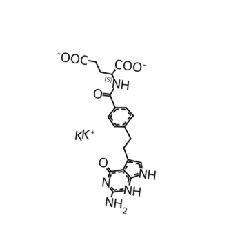 Nc1nc(=O)c2c(CCc3ccc(C(=O)N[C@@H](CCC(=O)[O-])C(=O)[O-])cc3)c[nH]c2[nH]1.[K+].[K+]